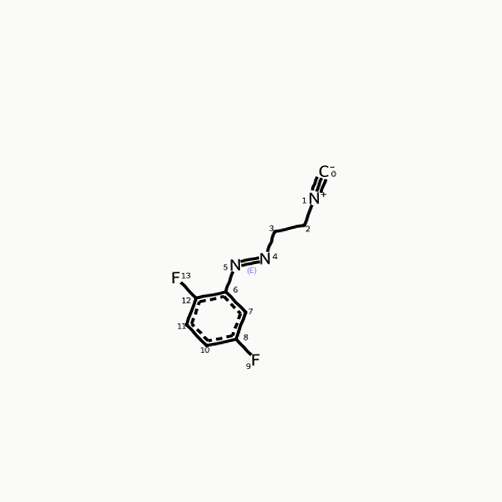 [C-]#[N+]CC/N=N/c1cc(F)ccc1F